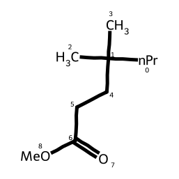 CCCC(C)(C)CCC(=O)OC